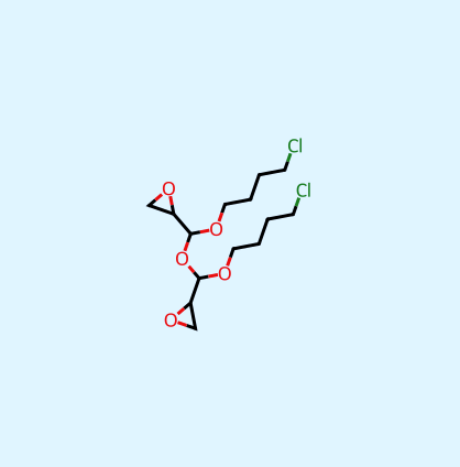 ClCCCCOC(OC(OCCCCCl)C1CO1)C1CO1